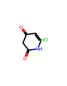 Cl.O=C1C=CNC(=O)C1